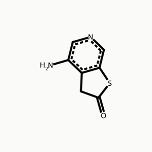 Nc1cncc2c1CC(=O)S2